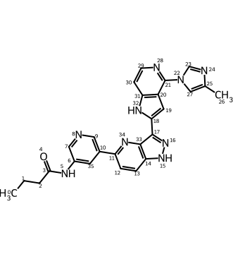 CCCC(=O)Nc1cncc(-c2ccc3[nH]nc(-c4cc5c(-n6cnc(C)c6)nccc5[nH]4)c3n2)c1